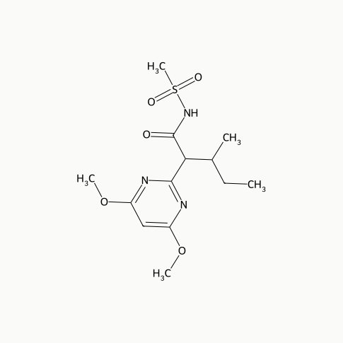 CCC(C)C(C(=O)NS(C)(=O)=O)c1nc(OC)cc(OC)n1